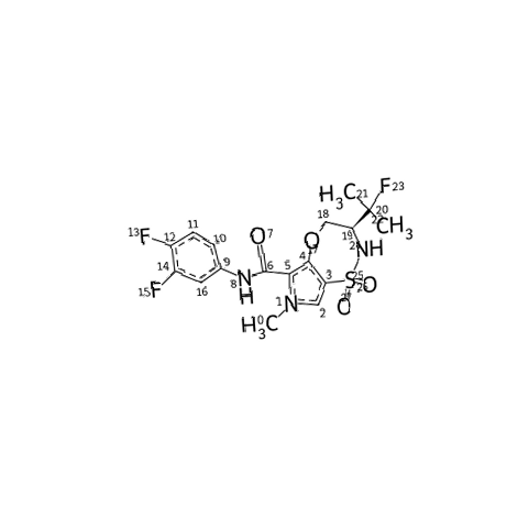 Cn1cc2c(c1C(=O)Nc1ccc(F)c(F)c1)OC[C@@H](C(C)(C)F)NS2(=O)=O